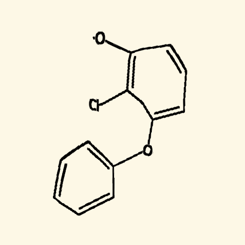 [O]c1cccc(Oc2ccccc2)c1Cl